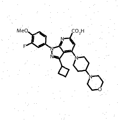 COc1ccc(-n2nc(C3CCC3)c3c(N4CCC(N5CCOCC5)CC4)cc(C(=O)O)nc32)cc1F